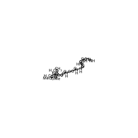 CC[C@H](C(=O)N1CCCC[C@H]1C(=O)O[C@H](CCc1ccc(C)c(C)c1)c1cccc(OCC(=O)NCCOCCOCCC(=O)NCCCNc2ccnc(-c3nc4c(NC(=O)c5ccc(CN6CCNCC6)cc5)cccc4[nH]3)c2)c1)c1cc(C)c(OC)c(OC)c1